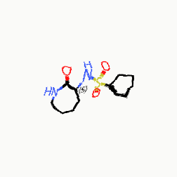 O=C1NCCCC[C@@H]1NS(=O)(=O)C1=CCCCC1